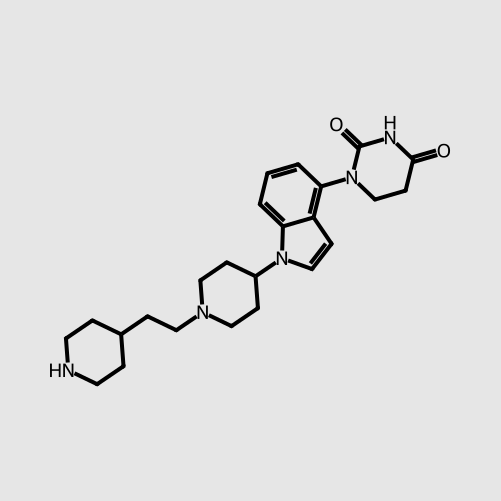 O=C1CCN(c2cccc3c2ccn3C2CCN(CCC3CCNCC3)CC2)C(=O)N1